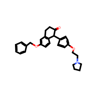 O=C1CCc2cc(OCc3ccccc3)ccc2C1c1ccc(OCCN2CCCC2)cc1